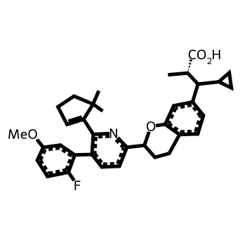 COc1ccc(F)c(-c2ccc(C3CCc4ccc(C(C5CC5)[C@H](C)C(=O)O)cc4O3)nc2C2=CCCC2(C)C)c1